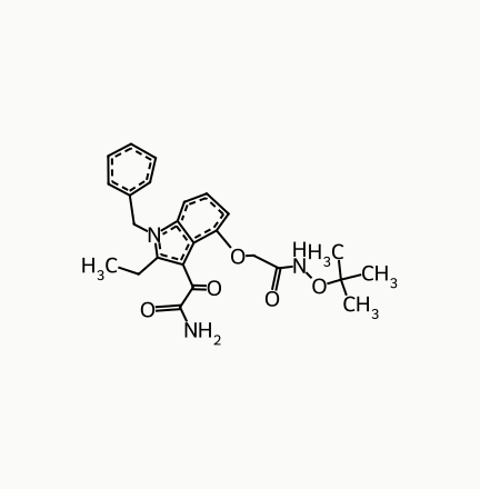 CCc1c(C(=O)C(N)=O)c2c(OCC(=O)NOC(C)(C)C)cccc2n1Cc1ccccc1